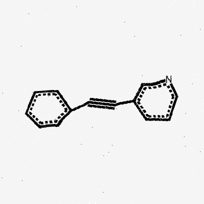 C(#Cc1cccnc1)c1c[c]ccc1